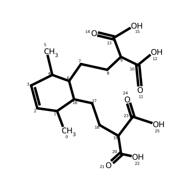 CC1C=CC(C)C(CCC(C(=O)O)C(=O)O)C1CCC(C(=O)O)C(=O)O